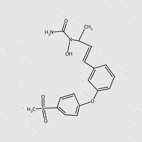 CC(/C=C/c1cccc(Oc2ccc(S(C)(=O)=O)cc2)c1)N(O)C(N)=O